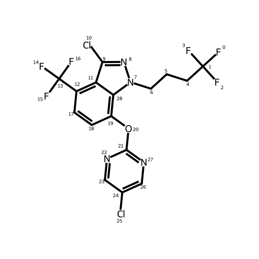 FC(F)(F)CCCn1nc(Cl)c2c(C(F)(F)F)ccc(Oc3ncc(Cl)cn3)c21